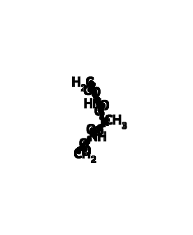 C=CC(=O)OCCNC(=O)OCCN(C)CCOC(=O)NCCOC(=O)C=C